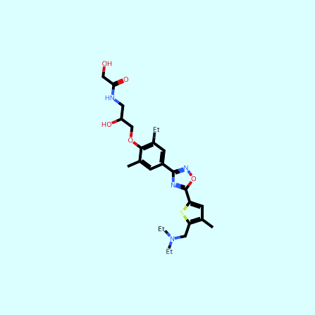 CCc1cc(-c2noc(-c3cc(C)c(CN(CC)CC)s3)n2)cc(C)c1OCC(O)CNC(=O)CO